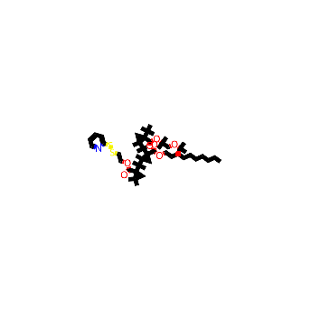 CCCCCCCCCCOC(=O)C1(C(C)(C)C2(C)CC2(C(=O)OC(C)(C)COC(C)(C)C)C(C)(C)C)CC1(C)C(C)(C)C1(C(=O)OCCSSc2ccccn2)CC1(C)C